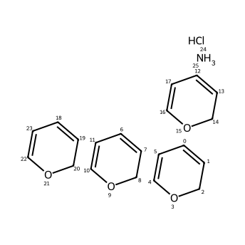 C1=CCOC=C1.C1=CCOC=C1.C1=CCOC=C1.C1=CCOC=C1.Cl.N